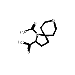 CC(=O)N1C(C(=O)O)CCC12CCOCC2